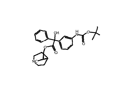 CC(C)(C)OC(=O)Nc1cccc(C(O)(C(=O)OC2CN3CCC2CC3)c2ccccc2)c1